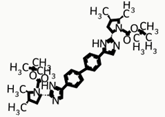 C[C@@H]1C[C@@H](c2ncc(-c3ccc(-c4ccc(-c5cnc([C@@H]6C[C@@H](C)[C@@H](C)N6C(=O)OC(C)(C)C)[nH]5)cc4)cc3)[nH]2)N(C(=O)OC(C)(C)C)[C@@H]1C